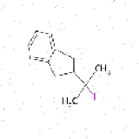 CC(C)(I)C1Cc2ccccc2C1